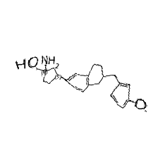 COc1cccc(CC2CCc3cc([C@H]4CC[C@](N)(CO)C4)ccc3C2)c1